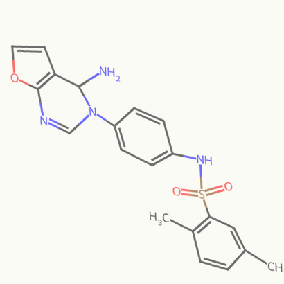 Cc1ccc(C)c(S(=O)(=O)Nc2ccc(N3C=Nc4occc4C3N)cc2)c1